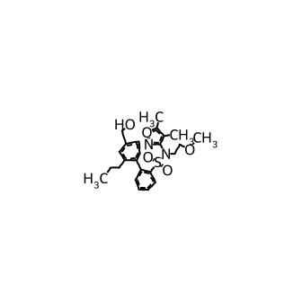 CCCc1cc(CO)ccc1-c1ccccc1S(=O)(=O)N(CCOC)c1noc(C)c1C